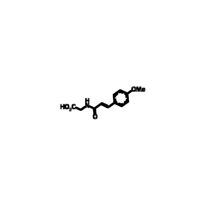 COc1ccc(/C=C/C(=O)NCC(=O)O)cc1